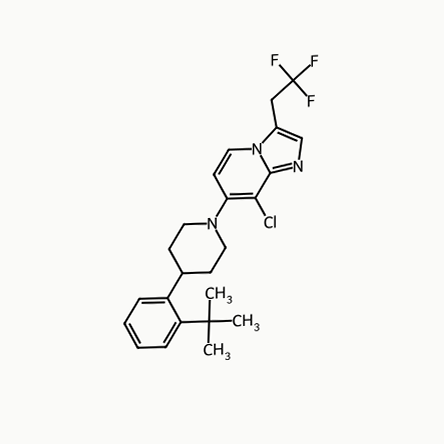 CC(C)(C)c1ccccc1C1CCN(c2ccn3c(CC(F)(F)F)cnc3c2Cl)CC1